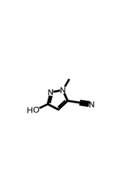 Cn1nc(O)cc1C#N